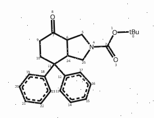 CC(C)(C)OC(=O)N1CC2C(=O)CCC(c3ccccc3)(c3ccccc3)C2C1